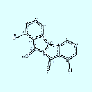 O=c1c2c(Cl)cccc2n2c3cccc(Br)c3c(=O)n12